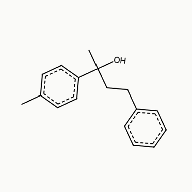 Cc1ccc(C(C)(O)CCc2ccccc2)cc1